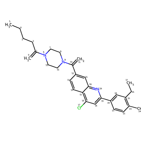 C=C(CCCC)N1CCN(C(=C)c2ccc3c(Cl)cc(-c4ccc(C)c(CC)c4)nc3c2)CC1